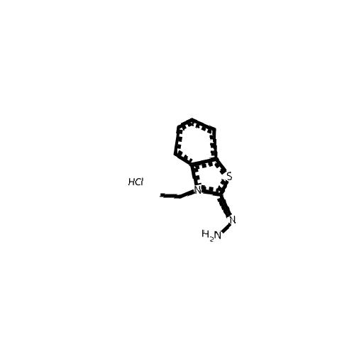 CCn1c(=NN)sc2ccccc21.Cl